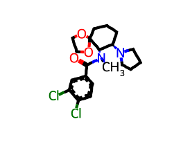 CN(C(=O)c1ccc(Cl)c(Cl)c1)[C@H]1[C@H](N2CCCC2)CCCC12OCCO2